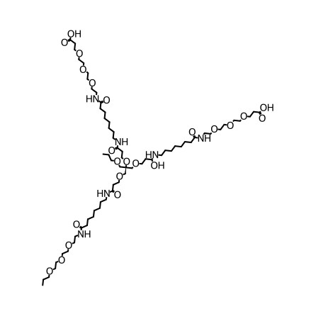 CCCOCCOCCOCCNC(=O)CCCCCCCNC(=O)CCOC[C@](COCCC)(COCCC(O)NCCCCCCCC(=O)NCCOCCOCCOCCC(=O)O)OCCC(=O)NCCCCCCCC(=O)NCCOCCOCCOCCC(=O)O